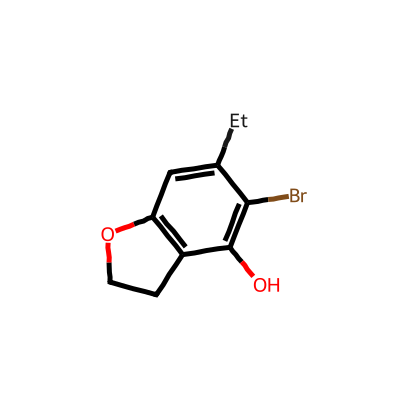 CCc1cc2c(c(O)c1Br)CCO2